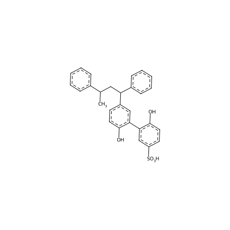 CC(CC(c1ccccc1)c1ccc(O)c(-c2cc(S(=O)(=O)O)ccc2O)c1)c1ccccc1